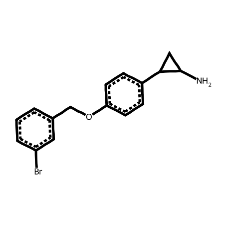 NC1CC1c1ccc(OCc2cccc(Br)c2)cc1